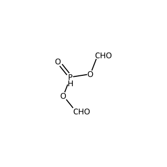 O=CO[PH](=O)OC=O